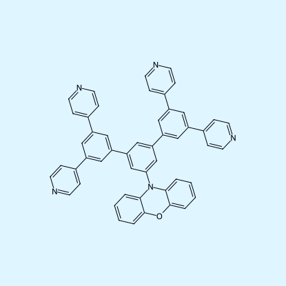 c1ccc2c(c1)Oc1ccccc1N2c1cc(-c2cc(-c3ccncc3)cc(-c3ccncc3)c2)cc(-c2cc(-c3ccncc3)cc(-c3ccncc3)c2)c1